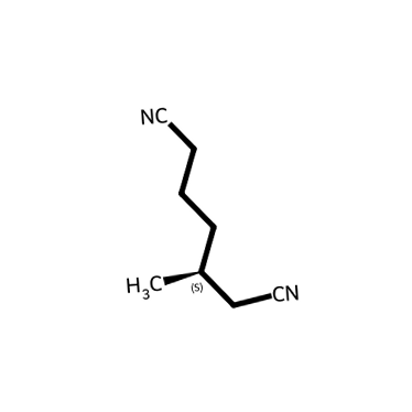 C[C@H](CC#N)CCCC#N